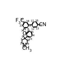 CN1CCC(COCc2cc(-c3ccc(C#N)cc3)cc(C(F)(F)F)c2)(c2ccccc2)CC1